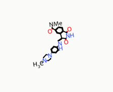 CNC(=O)c1ccc2c(c1)/C(=C/Nc1ccc(N3CCN(C)CC3)cc1)C(=O)NC2=O